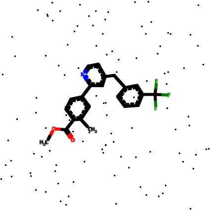 COC(=O)c1ccc(-c2cc(Cc3cccc(C(F)(F)F)c3)ccn2)cc1C